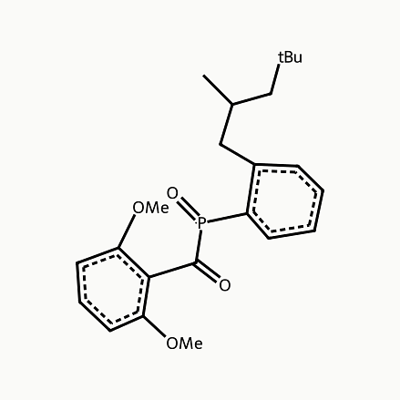 COc1cccc(OC)c1C(=O)[P](=O)c1ccccc1CC(C)CC(C)(C)C